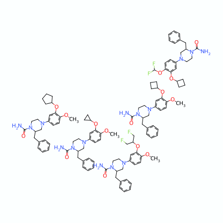 COc1ccc(N2CCN(C(N)=O)C(Cc3ccccc3)C2)cc1OC(CF)CF.COc1ccc(N2CCN(C(N)=O)C(Cc3ccccc3)C2)cc1OC1CC1.COc1ccc(N2CCN(C(N)=O)C(Cc3ccccc3)C2)cc1OC1CCC1.COc1ccc(N2CCN(C(N)=O)C(Cc3ccccc3)C2)cc1OC1CCCC1.NC(=O)N1CCN(c2ccc(OC(F)F)c(OC3CCC3)c2)CC1Cc1ccccc1